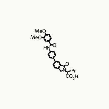 COc1ccc(C(=O)Nc2ccc(-c3ccc4c(c3)C(=O)N([C@H](C(=O)O)C(C)C)C4)cc2)cc1OC